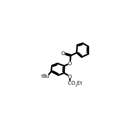 CCOC(=O)Oc1cc(C(C)(C)C)ccc1OC(=O)c1ccccc1